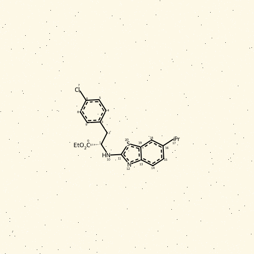 CCOC(=O)[C@H](Cc1ccc(Cl)cc1)Nc1nc2ccc(C(C)C)cc2s1